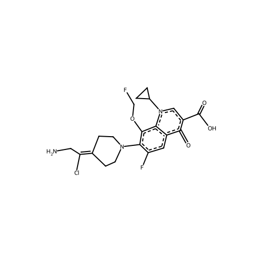 NCC(Cl)=C1CCN(c2c(F)cc3c(=O)c(C(=O)O)cn(C4CC4)c3c2OCF)CC1